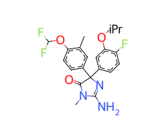 Cc1cc(C2(c3ccc(F)c(OC(C)C)c3)N=C(N)N(C)C2=O)ccc1OC(F)F